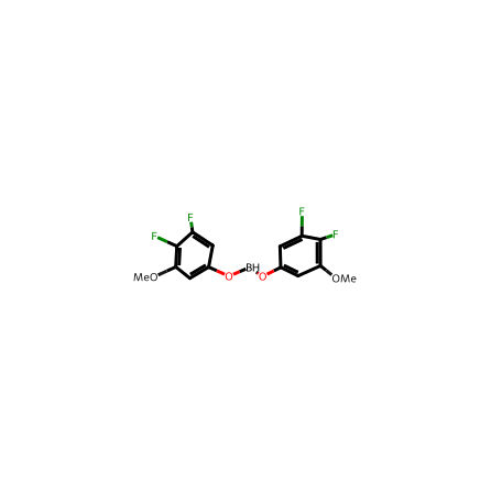 COc1cc(OBOc2cc(F)c(F)c(OC)c2)cc(F)c1F